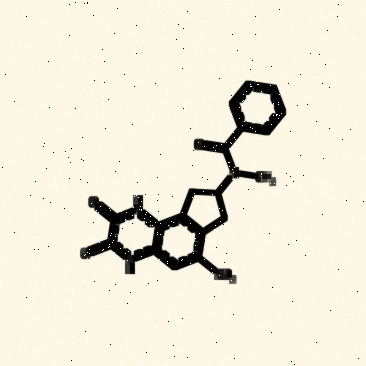 CN(C(=O)c1ccccc1)C1Cc2c([N+](=O)[O-])cc3[nH]c(=O)c(=O)[nH]c3c2C1